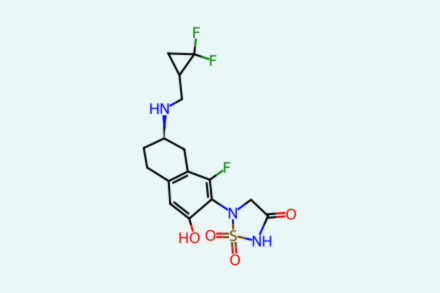 O=C1CN(c2c(O)cc3c(c2F)C[C@H](NCC2CC2(F)F)CC3)S(=O)(=O)N1